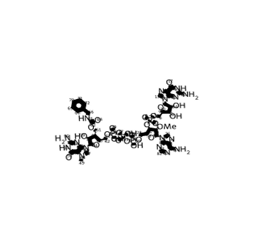 CO[C@@H]1[C@H](OP(=O)([O-])OC[C@H]2O[C@@H](n3cnc4c(=O)[nH]c(N)nc43)[C@H](O)[C@@H]2O)C(COP(=O)(O)OP(=O)(O)OP(=O)(O)OC[C@H]2O[C@@H](n3c[n+](C)c4c(=O)[nH]c(N)nc43)[C@H](O)[C@@H]2COC(=O)NCc2ccccc2)O[C@H]1n1cnc2c(N)ncnc21